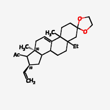 C=C[C@@H]1CC2C3CCC4(CC)CC5(CCC4(C)C3=CC[C@]2(C)C1C(C)=O)OCCO5